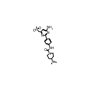 CN(C)C1CCN(C(=O)Nc2ccc(-c3nc(N)cc(CS(C)(=O)=O)n3)cc2)CC1